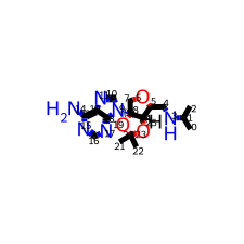 CC(C)NCC1OC[C@]2(n3cnc4c(N)ncnc43)OC(C)(C)O[C@H]12